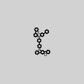 c1ccc(-c2ccc(N(c3ccc(-c4ccc(-n5c6ccccc6c6cc7oc8ccccc8c7cc65)cc4)cc3)c3cccc4c3sc3ccccc34)cc2)cc1